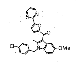 COc1ccc2c(c1)c(C(=O)c1ccc(-c3ncccn3)o1)c(C)n2Cc1ccc(Cl)cc1